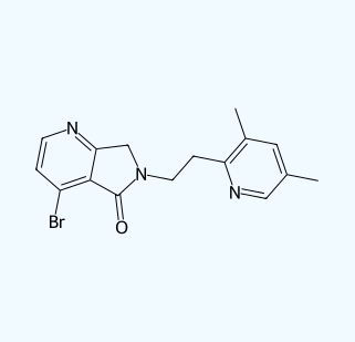 Cc1cnc(CCN2Cc3nccc(Br)c3C2=O)c(C)c1